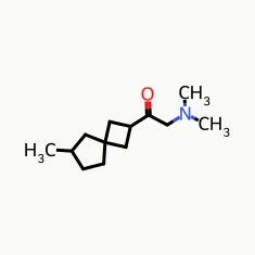 CC1CCC2(C1)CC(C(=O)CN(C)C)C2